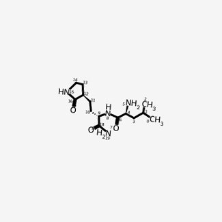 CC(C)C[C@H](N)C(=O)N[C@@H](CC[C@@H]1CCNC1=O)C(N)=O